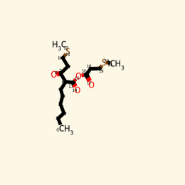 CCCCCCC(C(=O)CCSC)C(=O)OC(=O)CCSC